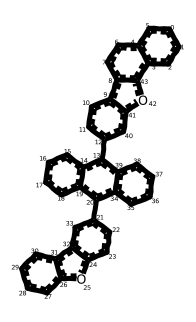 c1ccc2c(c1)ccc1c3ccc(-c4c5ccccc5c(-c5ccc6oc7ccccc7c6c5)c5ccccc45)cc3oc21